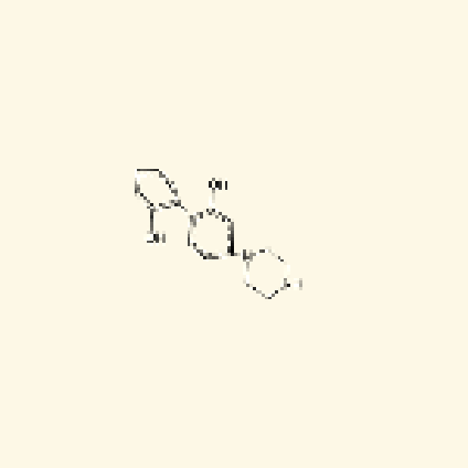 Oc1ccccc1-c1ccc(N2CCNCC2)cc1O